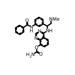 CNCC(Nc1ncnc2c(OC(N)=O)cccc12)c1cccc(NC(=O)c2ccccc2)c1